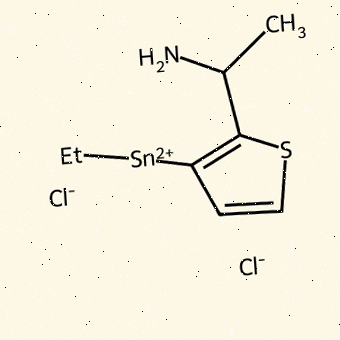 C[CH2][Sn+2][c]1ccsc1C(C)N.[Cl-].[Cl-]